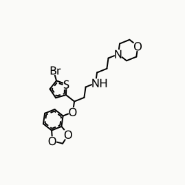 Brc1ccc(C(CCNCCCN2CCOCC2)Oc2cccc3c2OCO3)s1